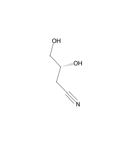 N#CC[C@@H](O)CO